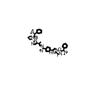 C=N/C(=N\C=C(/C)c1cnc([C@@H]2CCCN2C(=O)[C@@H](c2ccccc2)N(C)C)[nH]1)c1ccc(-c2cnc([C@H](C)N(C)C(=O)[C@@H](c3ccccc3)N(C)C)[nH]2)cc1